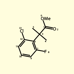 COC(=O)C(C)(C)c1c(F)cccc1Cl